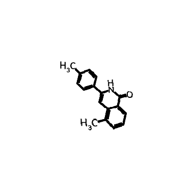 Cc1ccc(-c2cc3c(C)cccc3c(=O)[nH]2)cc1